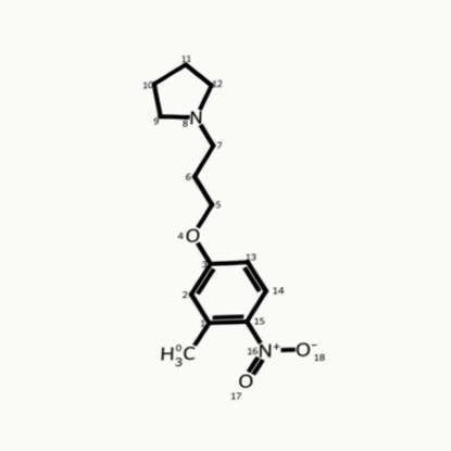 Cc1cc(OCCCN2CCCC2)ccc1[N+](=O)[O-]